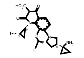 NC1([C@@H]2CCN(c3ccc4c(c3OC(F)F)N([C@@H]3C[C@@H]3F)C(=O)C(C(=O)O)C4=O)C2)CC1